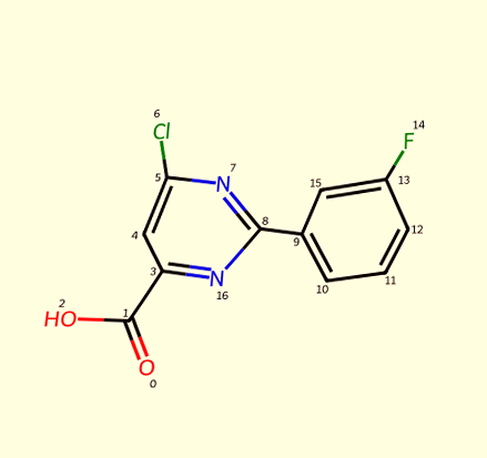 O=C(O)c1cc(Cl)nc(-c2cccc(F)c2)n1